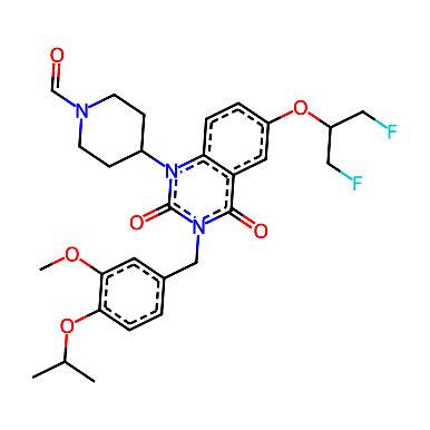 COc1cc(Cn2c(=O)c3cc(OC(CF)CF)ccc3n(C3CCN(C=O)CC3)c2=O)ccc1OC(C)C